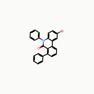 O=c1c2c(-c3ccccc3)cccc2c2cc(Br)ccc2n1-c1ccccc1